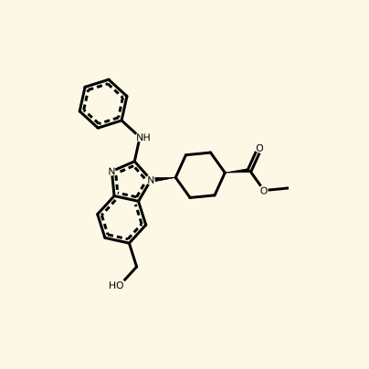 COC(=O)[C@H]1CC[C@@H](n2c(Nc3ccccc3)nc3ccc(CO)cc32)CC1